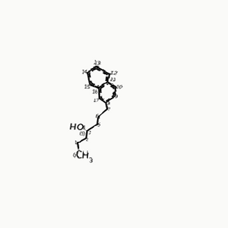 CCC[C@H](O)CCCc1ccc2ccccc2c1